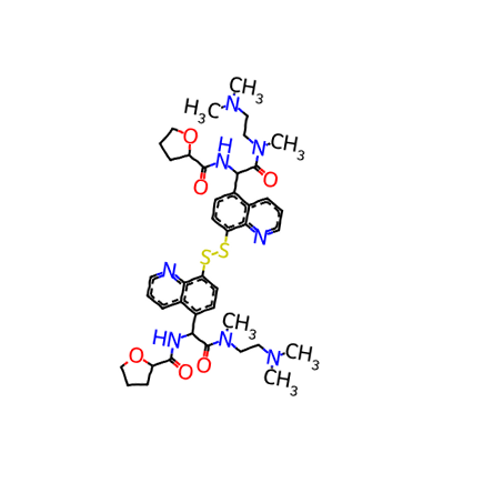 CN(C)CCN(C)C(=O)C(NC(=O)C1CCCO1)c1ccc(SSc2ccc(C(NC(=O)C3CCCO3)C(=O)N(C)CCN(C)C)c3cccnc23)c2ncccc12